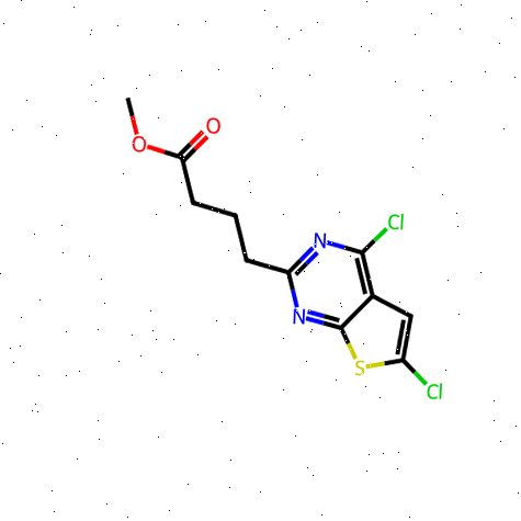 COC(=O)CCCc1nc(Cl)c2cc(Cl)sc2n1